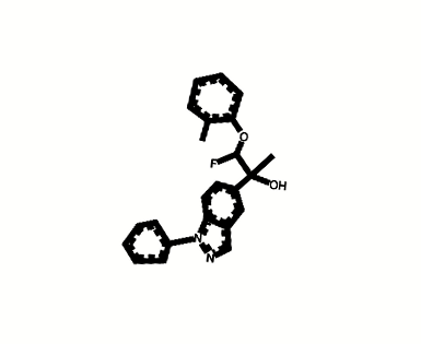 Cc1ccccc1OC(F)C(C)(O)c1ccc2c(cnn2-c2ccccc2)c1